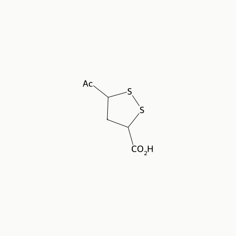 CC(=O)C1CC(C(=O)O)SS1